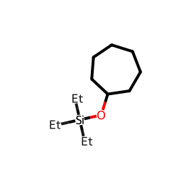 CC[Si](CC)(CC)OC1CCCCCC1